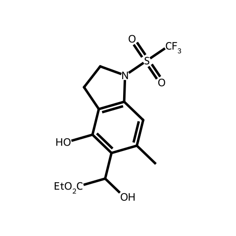 CCOC(=O)C(O)c1c(C)cc2c(c1O)CCN2S(=O)(=O)C(F)(F)F